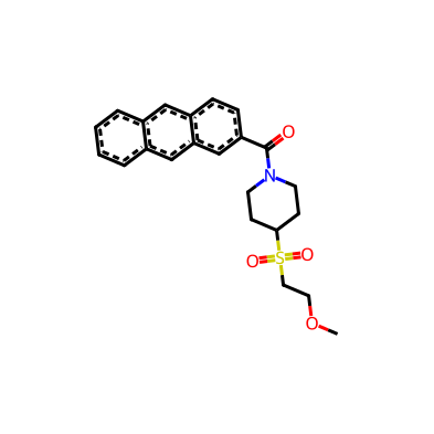 COCCS(=O)(=O)C1CCN(C(=O)c2ccc3cc4ccccc4cc3c2)CC1